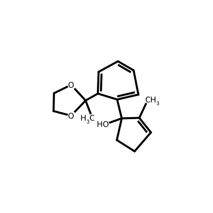 CC1=CCCC1(O)c1ccccc1C1(C)OCCO1